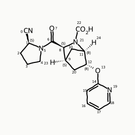 N#C[C@@H]1CCCN1C(=O)[C@@H]1[C@H]2C[C@H]([C@H](Oc3ccccn3)C2)N1C(=O)O